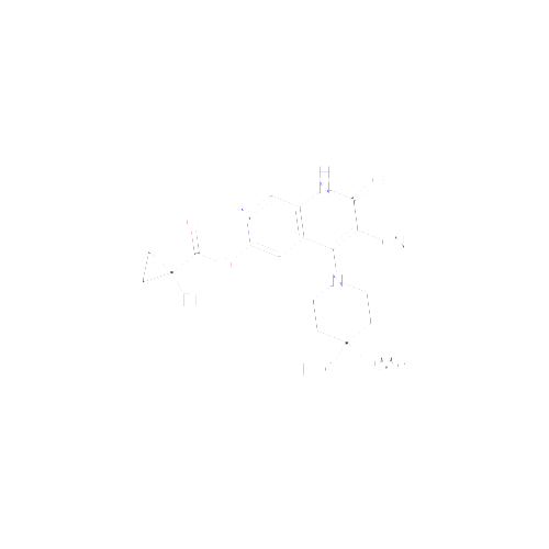 CCC1(C(=O)Oc2cc3c(N4CCC(C)(OC)CC4)c(C#N)c(=O)[nH]c3cn2)CC1